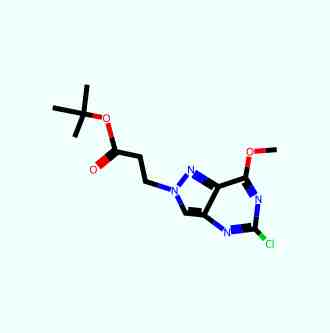 COc1nc(Cl)nc2cn(CCC(=O)OC(C)(C)C)nc12